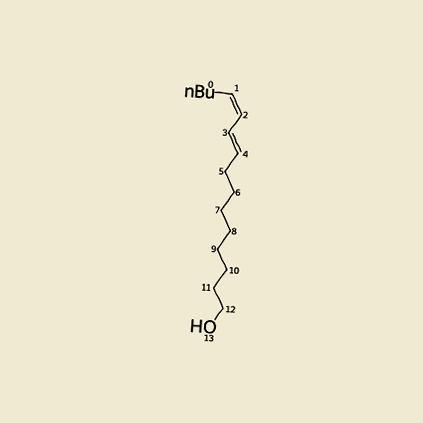 CCCC/C=C\C=C\CCCCCCCCO